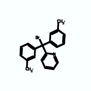 [CH2]c1cccc(C(Br)(c2cccc([CH2])c2)c2ccccn2)c1